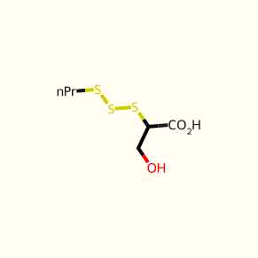 CCCSSSC(CO)C(=O)O